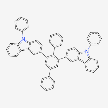 c1ccc(-c2cc(-c3ccc4c(c3)c3ccccc3n4-c3ccccc3)c(-c3ccccc3)c(-c3ccc4c(c3)c3ccccc3n4-c3ccccc3)c2)cc1